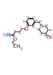 CCOC(=N)CCCOc1cccc(CN2CCC(O)CC2)c1